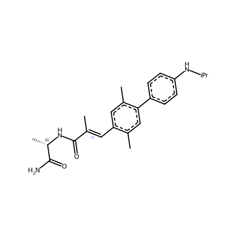 C/C(=C\c1cc(C)c(-c2ccc(NC(C)C)cc2)cc1C)C(=O)N[C@@H](C)C(N)=O